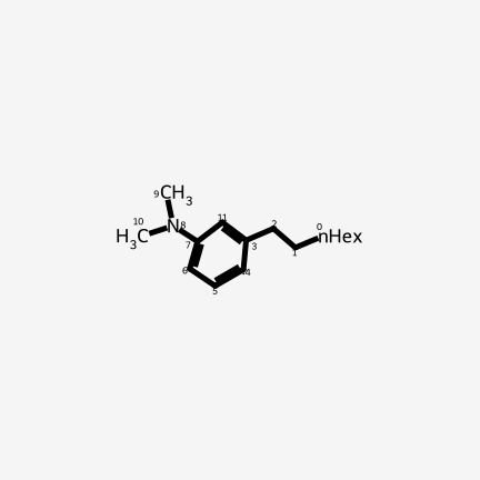 CCCCCCCCc1[c]ccc(N(C)C)c1